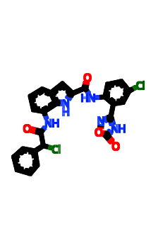 O=C(Nc1ccc(Cl)cc1-c1noc(=O)[nH]1)c1cc2cccc(NC(=O)C(Cl)c3ccccc3)c2[nH]1